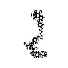 CN(CCCCCc1ccc(Oc2cccc3c2C(=O)NC(=O)C3=O)cc1)CC1CCC(n2cc(NC(=O)c3cnn4ccc(N5CCOCC5)nc34)c(C(F)F)n2)CC1